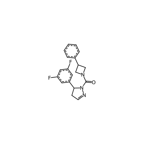 O=C(N1CC(c2ccccc2)C1)N1N=CCC1c1cc(F)cc(F)c1